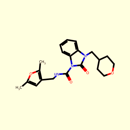 Cc1cc(CNC(=O)n2c(=O)n(CC3CCOCC3)c3ccccc32)c(C)o1